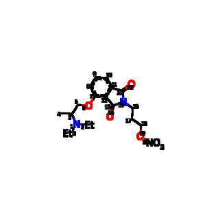 CCN(CC)C(C)COc1cccc2c1C(=O)N(CCCO[N+](=O)[O-])C2=O